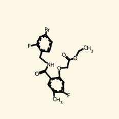 CCOC(=O)COc1cc(F)c(C)cc1C(=O)NCc1ccc(Br)cc1F